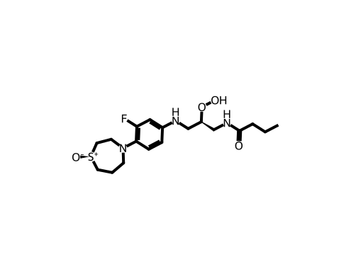 CCCC(=O)NC[C@@H](CNc1ccc(N2CCC[S@@+]([O-])CC2)c(F)c1)OO